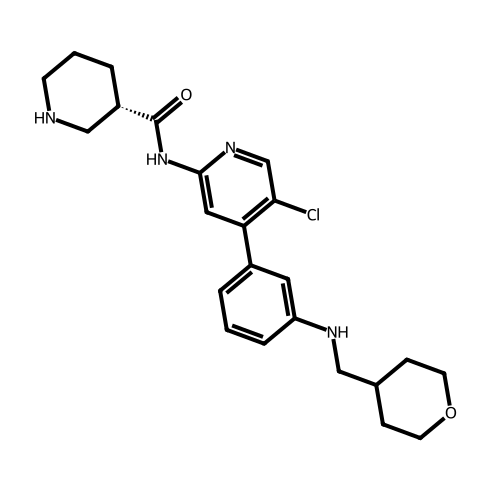 O=C(Nc1cc(-c2cccc(NCC3CCOCC3)c2)c(Cl)cn1)[C@H]1CCCNC1